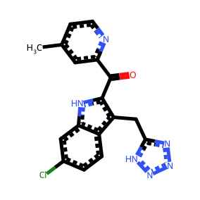 Cc1ccnc(C(=O)c2[nH]c3cc(Cl)ccc3c2Cc2nnn[nH]2)c1